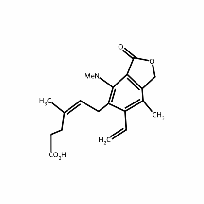 C=Cc1c(C)c2c(c(NC)c1CC=C(C)CCC(=O)O)C(=O)OC2